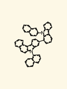 c1ccc2cc(-n3c4ccccc4c4cccc(-c5ccc6c7c8ccccc8ccc7n(-c7cccc8ccccc78)c6c5)c43)ccc2c1